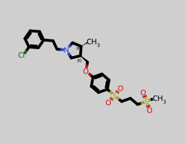 C[C@H]1CN(CCc2cccc(Cl)c2)C[C@@H]1COc1ccc(S(=O)(=O)CCCS(C)(=O)=O)cc1